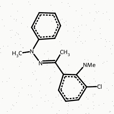 CNc1c(Cl)cccc1/C(C)=N/N(C)c1ccccc1